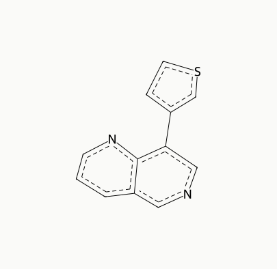 c1cnc2c(-c3ccsc3)cncc2c1